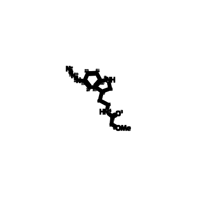 COCC(=O)NCCC1CNc2ccc(N=[N+]=[N-])cc21